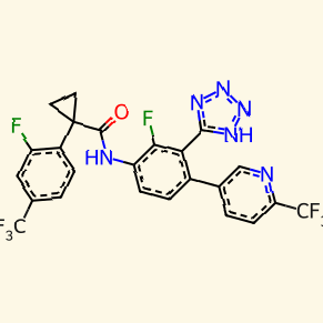 O=C(Nc1ccc(-c2ccc(C(F)(F)F)nc2)c(-c2nnn[nH]2)c1F)C1(c2ccc(C(F)(F)F)cc2F)CC1